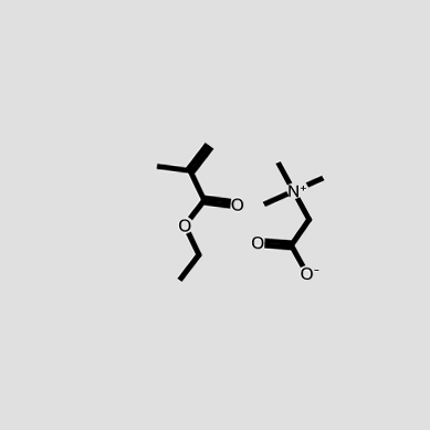 C=C(C)C(=O)OCC.C[N+](C)(C)CC(=O)[O-]